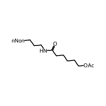 CCCCCCCCCCCCNC(=O)CCCCCOC(C)=O